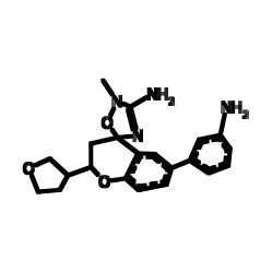 CN1OC2(CC(C3CCOC3)Oc3ccc(-c4cccc(N)c4)cc32)N=C1N